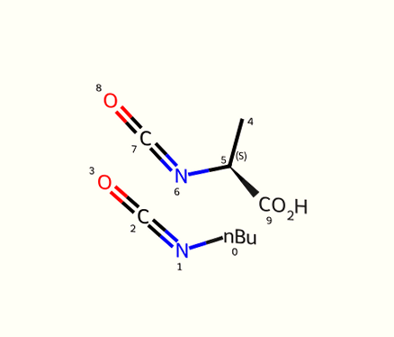 CCCCN=C=O.C[C@H](N=C=O)C(=O)O